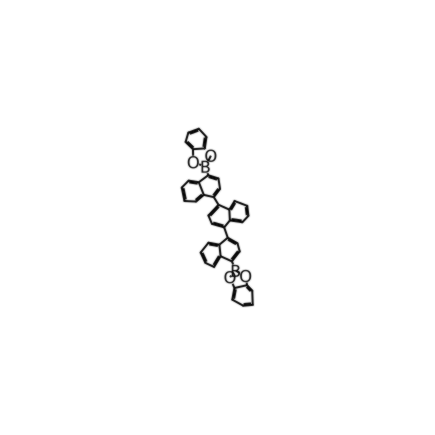 c1ccc2c(c1)OB(c1ccc(-c3ccc(-c4ccc(B5Oc6ccccc6O5)c5ccccc45)c4ccccc34)c3ccccc13)O2